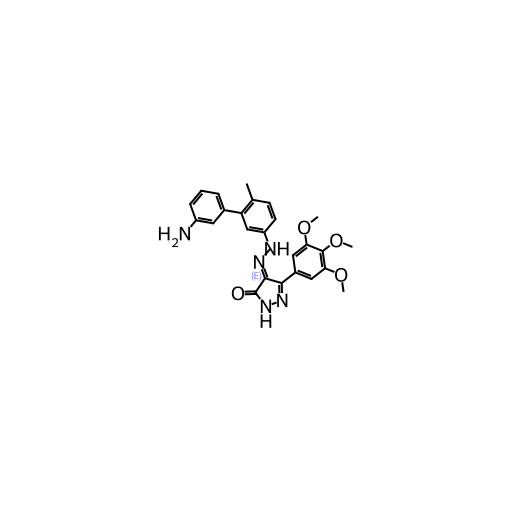 COc1cc(C2=NNC(=O)/C2=N/Nc2ccc(C)c(-c3cccc(N)c3)c2)cc(OC)c1OC